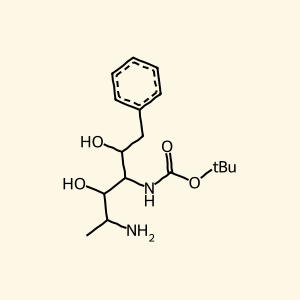 CC(N)C(O)C(NC(=O)OC(C)(C)C)C(O)Cc1ccccc1